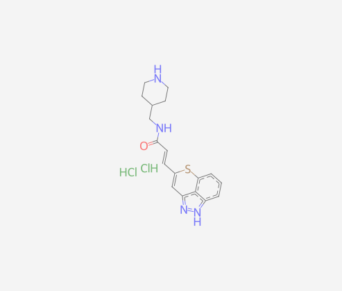 Cl.Cl.O=C(C=CC1=Cc2n[nH]c3cccc(c23)S1)NCC1CCNCC1